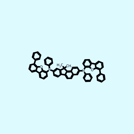 CC1(C)c2cc(N(c3ccccc3)c3cccc4c3oc3c(-c5ccccc5)cccc34)ccc2-c2ccc3cc(N(c4ccccc4)c4cccc5c4oc4c(-c6ccccc6)cccc45)ccc3c21